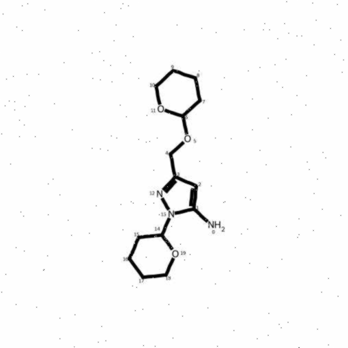 Nc1cc(COC2CCCCO2)nn1C1CCCCO1